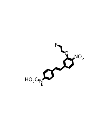 CN(C(=O)O)c1ccc(C=Cc2ccc([N+](=O)[O-])c(OCCF)c2)cc1